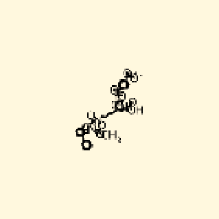 COC(=O)N[C@@H](Cc1cccc(-c2ccccc2)c1)C(=O)NCCCCC1CN(C(=O)O)C[C@@H](CS(=O)(=O)c2ccc([N+](=O)[O-])cc2)O1